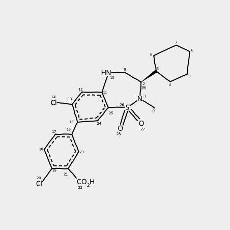 CN1[C@H](C2CCCCC2)CNc2cc(Cl)c(-c3ccc(Cl)c(C(=O)O)c3)cc2S1(=O)=O